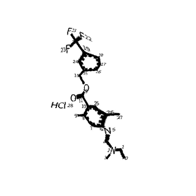 CCN(C)C=Nc1cc(C)c(C(=O)OCc2cccc(C(F)(F)F)c2)cc1C.Cl